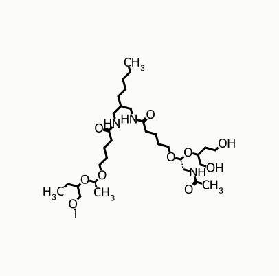 CCCCCC(CNC(=O)CCCCO[C@@H](C)OC(CC)COI)CNC(=O)CCCCO[C@@H](CNC(C)=O)OC(CO)CCO